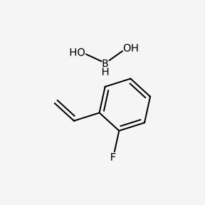 C=Cc1ccccc1F.OBO